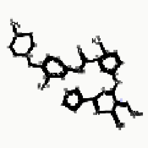 CN/C=C1\C(=N)N=C(c2ccoc2)N=C1Oc1ccc(C)c(C(=O)Nc2ccc(CN3CCN(C)CC3)c(C(F)(F)F)c2)c1